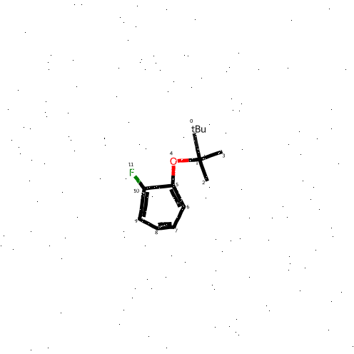 CC(C)(C)C(C)(C)Oc1ccccc1F